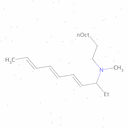 C/C=C/C=C/C=C/C(CC)N(C)CCCCCCCCCC